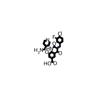 NC(=O)c1ccncc1.O=C1Nc2ccc(C(=O)O)cc2C(=O)/C1=C/c1ccc(Cl)c(F)c1